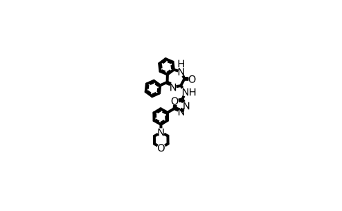 O=C1Nc2ccccc2C(c2ccccc2)=NC1Nc1nnc(-c2cccc(N3CCOCC3)c2)o1